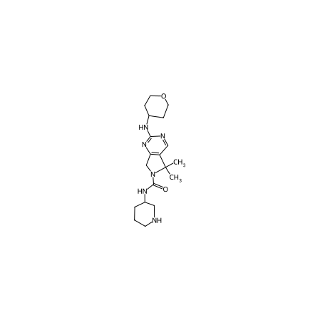 CC1(C)c2cnc(NC3CCOCC3)nc2CN1C(=O)NC1CCCNC1